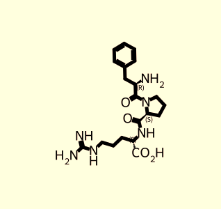 N=C(N)NCCC[C@H](NC(=O)[C@@H]1CCCN1C(=O)[C@H](N)Cc1ccccc1)C(=O)O